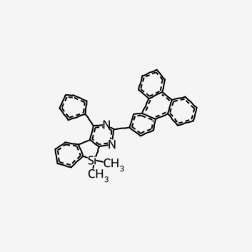 C[Si]1(C)c2ccccc2-c2c(-c3ccccc3)nc(-c3ccc4c5ccccc5c5ccccc5c4c3)nc21